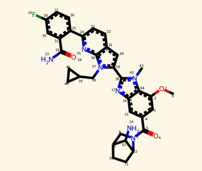 COc1cc(C(=O)N2CC3CCC2C3N)cc2nc(-c3cc4ccc(-c5ccc(F)cc5C(N)=O)nc4n3CC3CC3)n(C)c12